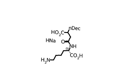 CCCCCCCCCCC(CC(=O)N[C@@H](CCCCN)C(=O)O)C(=O)O.[NaH]